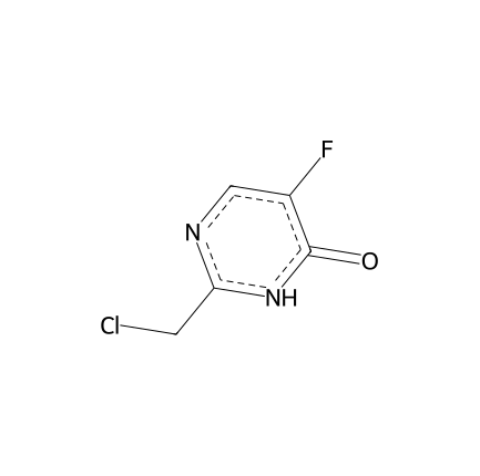 O=c1[nH]c(CCl)ncc1F